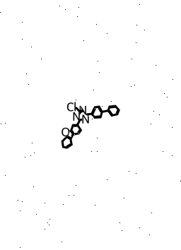 Clc1nc(-c2ccc(-c3ccccc3)cc2)nc(-c2ccc3c4c(oc3c2)CCC=C4)n1